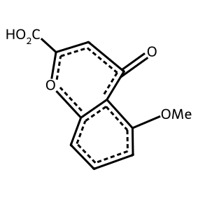 COc1cccc2oc(C(=O)O)cc(=O)c12